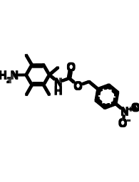 CC1=CC(C)(NC(=O)OCc2ccc([N+](=O)[O-])cc2)C(C)=C(C)C1N